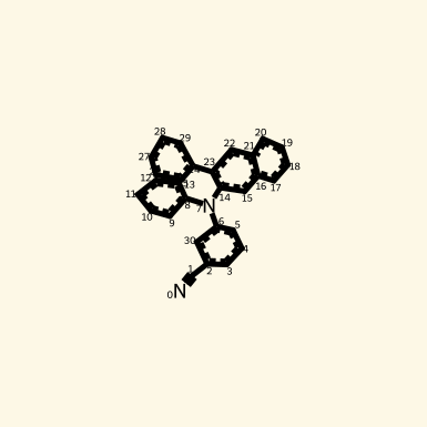 N#Cc1cccc(N(c2ccccc2)c2cc3ccccc3cc2-c2ccccc2)c1